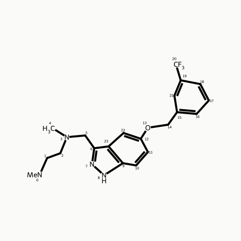 CNCCN(C)Cc1n[nH]c2ccc(OCc3cccc(C(F)(F)F)c3)cc12